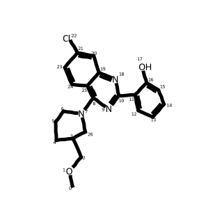 COCC1CCCN(c2nc(-c3ccccc3O)nc3cc(Cl)ccc23)C1